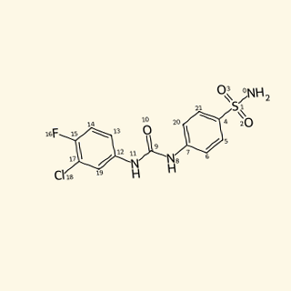 NS(=O)(=O)c1ccc(NC(=O)Nc2ccc(F)c(Cl)c2)cc1